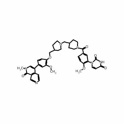 COc1cc(-c2cn(C)c(=O)c3cnccc23)ccc1OCC1CCN(CC2CCN(C(=O)c3ccc(OC)c(-n4ccc(=O)[nH]c4=O)c3)CC2)CC1